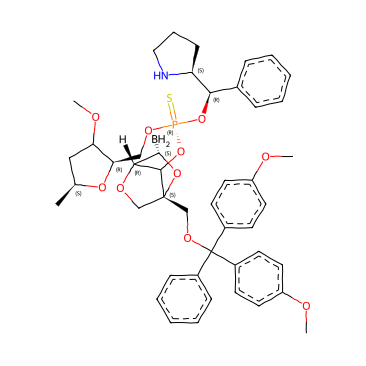 B[C@@H]1O[C@]2(COC(c3ccccc3)(c3ccc(OC)cc3)c3ccc(OC)cc3)CO[C@H]1C2O[P@@](=S)(OC[C@H]1O[C@@H](C)CC1OC)O[C@H](c1ccccc1)[C@@H]1CCCN1